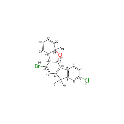 CC1(C)c2cc(Cl)ccc2-c2c1cc(Br)c1c2OC2(C)C=CC=CC12